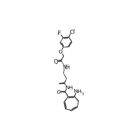 C=C(CCNC(=O)COc1ccc(Cl)c(F)c1)NC(=O)C1=C(N)CC=CC=C1